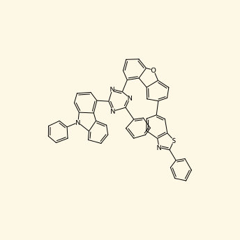 c1ccc(-c2nc(-c3cccc4oc5ccc(-c6ccc7nc(-c8ccccc8)sc7c6)cc5c34)nc(-c3cccc4c3c3ccccc3n4-c3ccccc3)n2)cc1